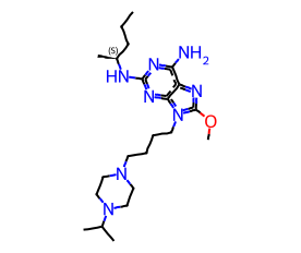 CCC[C@H](C)Nc1nc(N)c2nc(OC)n(CCCCN3CCN(C(C)C)CC3)c2n1